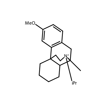 COc1ccc2c(c1)C13CCCCC1C(C2)[N+](C)(C(C)C)CC3